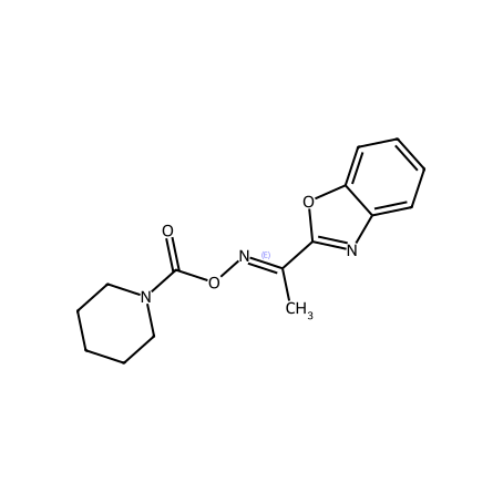 C/C(=N\OC(=O)N1CCCCC1)c1nc2ccccc2o1